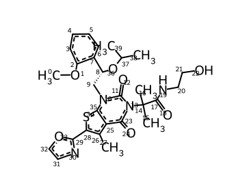 COc1ccccc1[C@@H](Cn1c(=O)n(C(C)(C)C(=O)NCCO)c(=O)c2c(C)c(-c3ncco3)sc21)OC(C)C